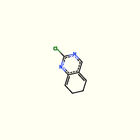 Clc1ncc2c(n1)=CCCC=2